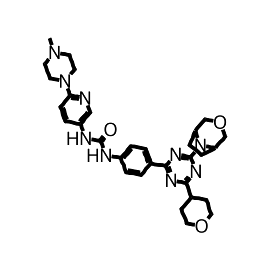 CN1CCN(c2ccc(NC(=O)Nc3ccc(-c4nc(C5CCOCC5)nc(N5C6CCC5COC6)n4)cc3)cn2)CC1